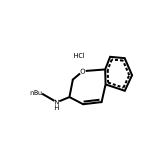 CCCCNC1C=Cc2ccccc2OC1.Cl